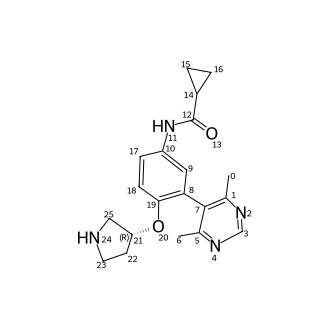 Cc1ncnc(C)c1-c1cc(NC(=O)C2CC2)ccc1O[C@@H]1CCNC1